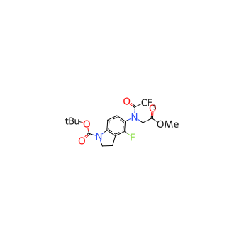 COC(=O)CN(C(=O)C(F)(F)F)c1ccc2c(c1F)CCN2C(=O)OC(C)(C)C